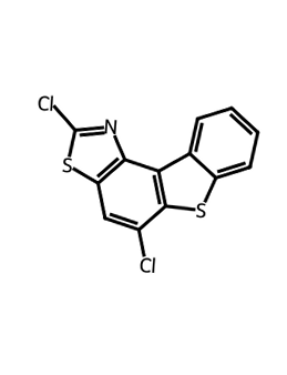 Clc1nc2c(cc(Cl)c3sc4ccccc4c32)s1